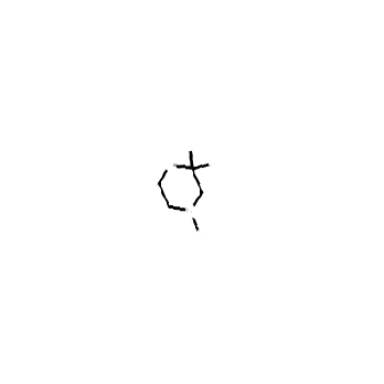 CC[CH]N1CCOC(C)(C)C1